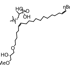 CC(C[N+](C)(C)C)P(=O)(O)O.CCCC/C=C\CCCCCCCCCC/C=C\CCCCCOC[C@@H](O)COC